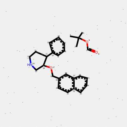 CC(C)(C)OC=O.c1ccc(C2CCNCC2OCc2ccc3ccccc3c2)cc1